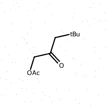 CC(=O)OCC(=O)CC(C)(C)C